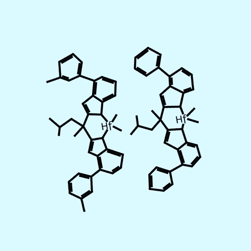 CC(C)CC1(C)C2=Cc3c(-c4ccccc4)cccc3[CH]2[Hf]([CH3])([CH3])[CH]2C1=Cc1c(-c3ccccc3)cccc12.Cc1cccc(-c2cccc3c2C=C2[CH]3[Hf]([CH3])([CH3])[CH]3C(=Cc4c(-c5cccc(C)c5)cccc43)C2(C)CC(C)C)c1